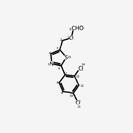 O=[C]OCc1cnc(-c2ccc(Cl)cc2Cl)s1